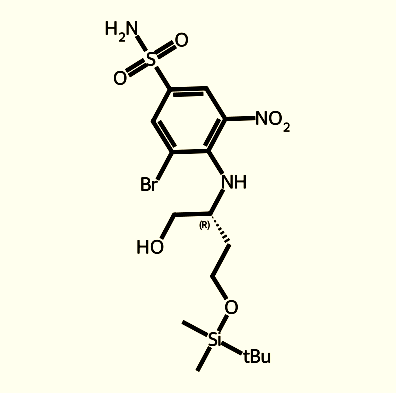 CC(C)(C)[Si](C)(C)OCC[C@H](CO)Nc1c(Br)cc(S(N)(=O)=O)cc1[N+](=O)[O-]